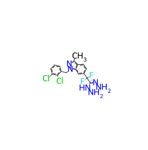 Cc1nn(Cc2cccc(Cl)c2Cl)c2cc(C(F)(F)/C(=N/N)NN)ccc12